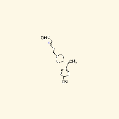 C=C(c1ccc(C#N)cc1)[C@H]1CC[C@H](CC/C=C/C=O)CC1